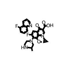 COc1c(N2CCNC(C)C2)c(F)cc2c(=O)c(C(=O)O)cn(C3CC3)c12.Fc1cccc2ncccc12